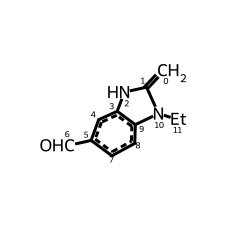 C=C1Nc2cc(C=O)ccc2N1CC